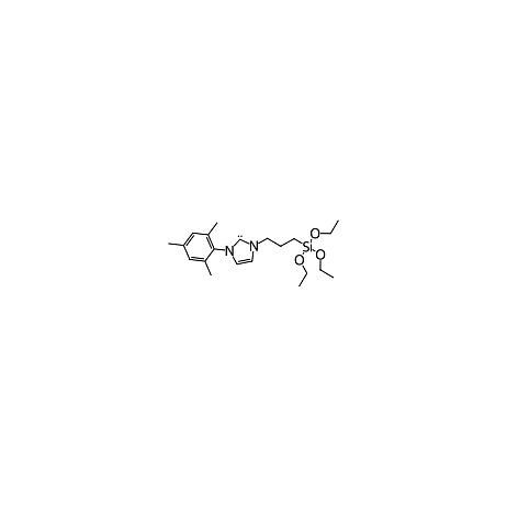 CCO[Si](CCCN1[C]N(c2c(C)cc(C)cc2C)C=C1)(OCC)OCC